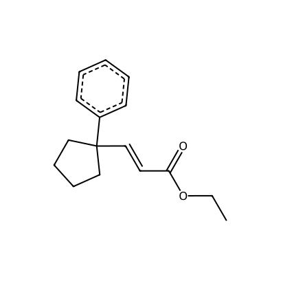 CCOC(=O)/C=C/C1(c2ccccc2)CCCC1